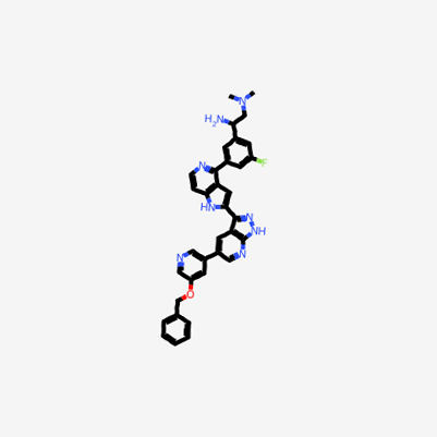 CN(C)CC(N)c1cc(F)cc(-c2nccc3[nH]c(-c4n[nH]c5ncc(-c6cncc(OCc7ccccc7)c6)cc45)cc23)c1